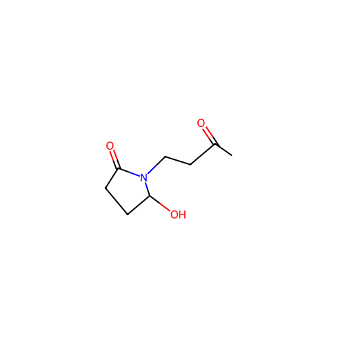 CC(=O)CCN1C(=O)CCC1O